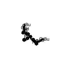 CC(C)(C)OCC(=O)NCC(=O)N1CCC[C@H]1c1nc2cc([C@@H]3CCC(Cc4ccc5[nH]c([C@@H]6CCCN6C(=O)C/C=C/C(=O)OC(C)(C)C)nc5c4)N3c3ccc(N4CCCCC4)c(F)c3)ccc2[nH]1